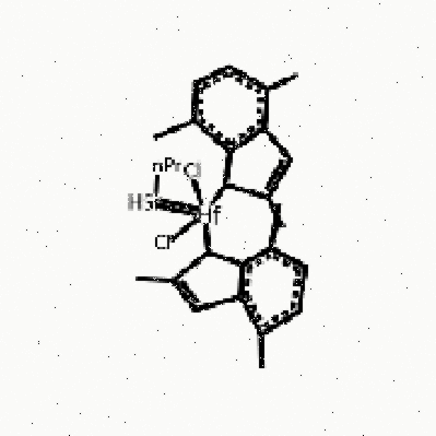 CCC[SiH]=[Hf]([Cl])([Cl])([CH]1C(C)=Cc2c(C)ccc(C)c21)[CH]1C(C)=Cc2c(C)ccc(C)c21